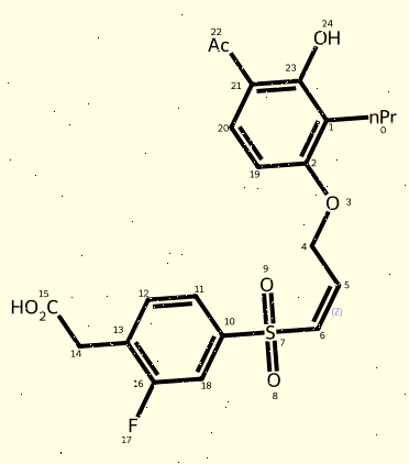 CCCc1c(OC/C=C\S(=O)(=O)c2ccc(CC(=O)O)c(F)c2)ccc(C(C)=O)c1O